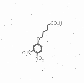 O=C(O)CCCCOc1ccc([N+](=O)[O-])c([N+](=O)[O-])c1